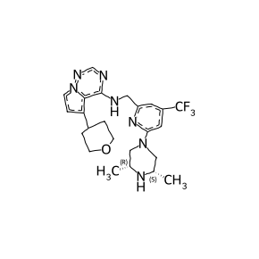 C[C@@H]1CN(c2cc(C(F)(F)F)cc(CNc3ncnn4ccc(C5CCOCC5)c34)n2)C[C@H](C)N1